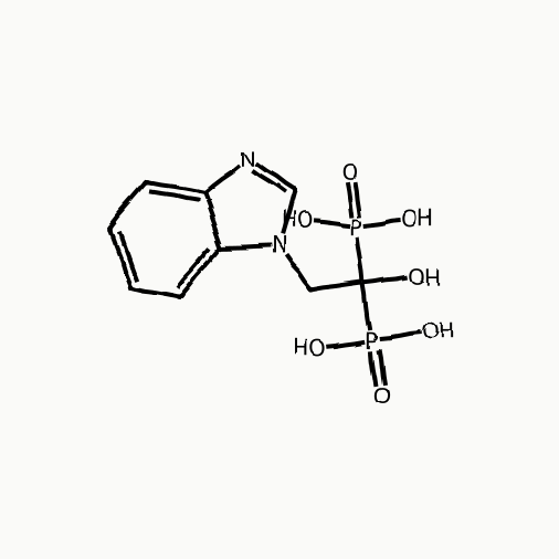 O=P(O)(O)C(O)(Cn1cnc2ccccc21)P(=O)(O)O